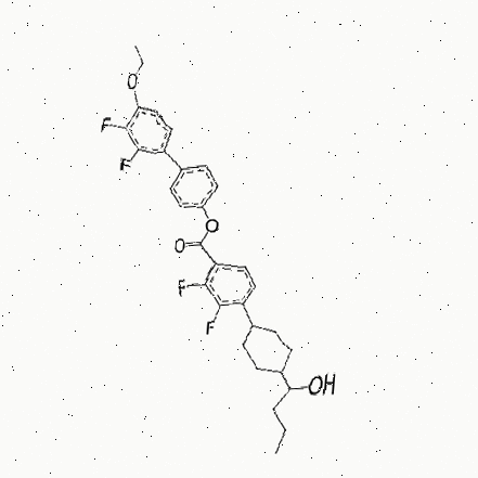 CCCC(O)C1CCC(c2ccc(C(=O)Oc3ccc(-c4ccc(OCC)c(F)c4F)cc3)c(F)c2F)CC1